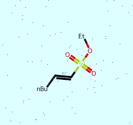 CCCC/C=C/S(=O)(=O)OCC